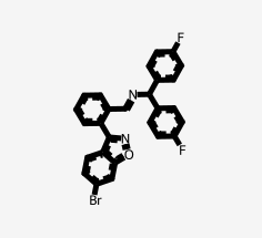 Fc1ccc(C(/N=C/c2ccccc2-c2noc3cc(Br)ccc23)c2ccc(F)cc2)cc1